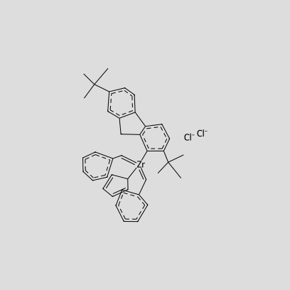 CC(C)(C)c1ccc2c(c1)Cc1c-2ccc(C(C)(C)C)[c]1[Zr](=[CH]c1ccccc1)(=[CH]c1ccccc1)[CH]1C=CC=C1.[Cl-].[Cl-]